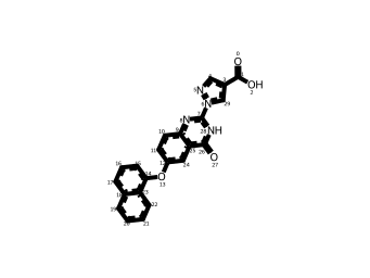 O=C(O)c1cnn(-c2nc3ccc(Oc4cccc5ccccc45)cc3c(=O)[nH]2)c1